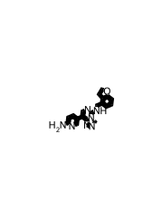 Nc1ccc(-c2cnc(NCc3cccc4c3CCO4)n3cnnc23)cn1